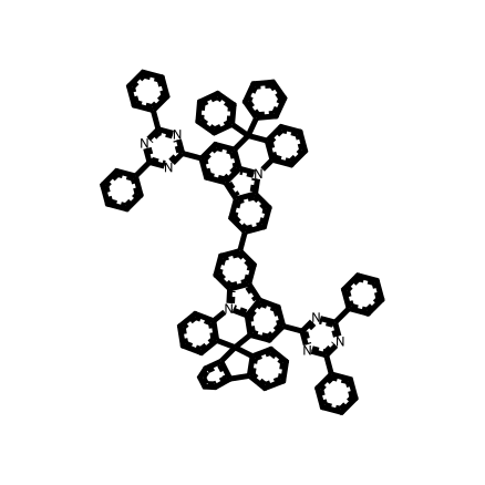 c1ccc(-c2nc(-c3ccccc3)nc(-c3cc4c5c(c3)c3cc(-c6ccc7c(c6)c6cc(-c8nc(-c9ccccc9)nc(-c9ccccc9)n8)cc8c6n7-c6ccccc6C86c7ccccc7-c7ccccc76)ccc3n5-c3ccccc3C4(c3ccccc3)c3ccccc3)n2)cc1